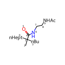 CCCCCCCC(C)(CCCC)C(=O)NCCNC(C)=O